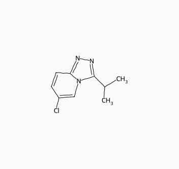 CC(C)c1nnc2ccc(Cl)cn12